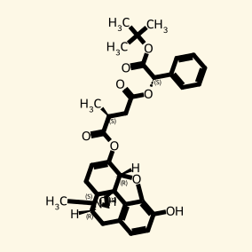 C[C@@H](CC(=O)O[C@H](C(=O)OC(C)(C)C)c1ccccc1)C(=O)OC1=CC[C@@]2(O)[C@H]3Cc4ccc(O)c5c4[C@@]2(CCN3C)[C@H]1O5